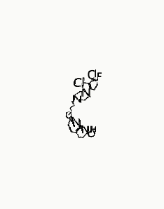 O=C1CCc2ccc(OCCCCN3CCN(c4ccc(F)c(Cl)c4Cl)CC3)nc2N1